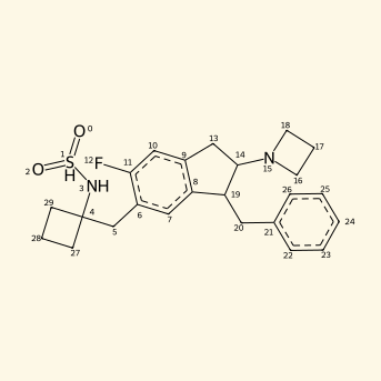 O=[SH](=O)NC1(Cc2cc3c(cc2F)CC(N2CCC2)C3Cc2ccccc2)CCC1